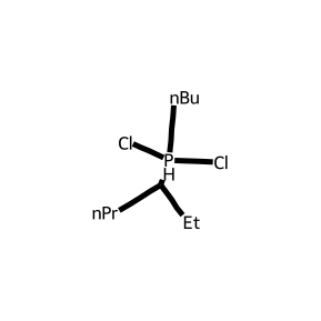 CCCC[PH](Cl)(Cl)C(CC)CCC